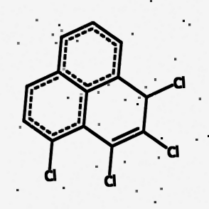 ClC1=C(Cl)C(Cl)c2cccc3ccc(Cl)c1c23